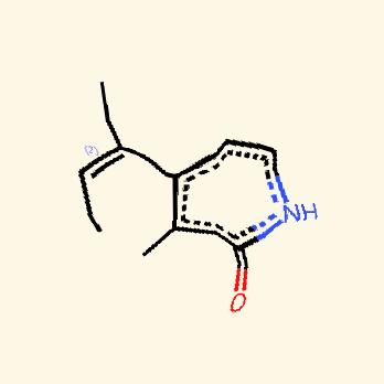 C/C=C(/C)c1cc[nH]c(=O)c1C